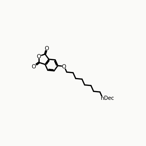 CCCCCCCCCCCCCCCCCCOc1ccc2c(c1)C(=O)OC2=O